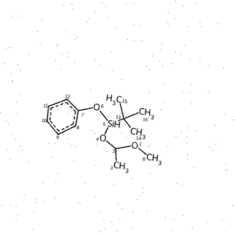 COC(C)O[SiH](Oc1ccccc1)C(C)(C)C